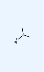 CCN(C)C.[Hf]